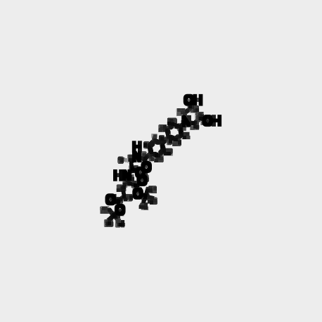 C[C@H](NC(=O)c1ccc(-c2ccc(N(CCO)CCO)cc2)cc1)C(=O)N[C@@H](CCC(=O)OC(C)(C)C)C(=O)OC(C)(C)C